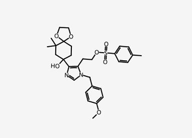 COc1ccc(Cn2cnc(C3(O)CCC4(OCCO4)C(C)(C)C3)c2CCOS(=O)(=O)c2ccc(C)cc2)cc1